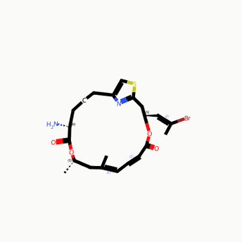 C/C(Br)=C\[C@@H]1Cc2nc(cs2)CCC[C@@H](N)C(=O)O[C@@H](C)C/C(C)=C/C=C\C(=O)O1